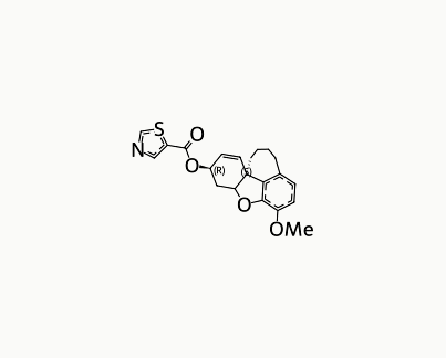 COc1ccc2c3c1OC1C[C@@H](OC(=O)c4cncs4)C=C[C@@]31CCCC2